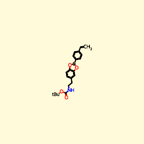 C=Cc1ccc(B2Oc3ccc(CCNC(=O)OC(C)(C)C)cc3O2)cc1